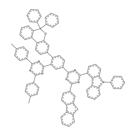 Cc1ccc(-c2nc(-c3ccc(C)cc3)nc(-c3cc(-c4nc(-c5ccc6c(c5)sc5ccccc56)nc(-c5cccc6c5c5ccccc5n6-c5ccccc5)n4)ccc3-c3ccc4c(c3)OC(c3ccccc3)(c3ccccc3)c3ccccc3-4)n2)cc1